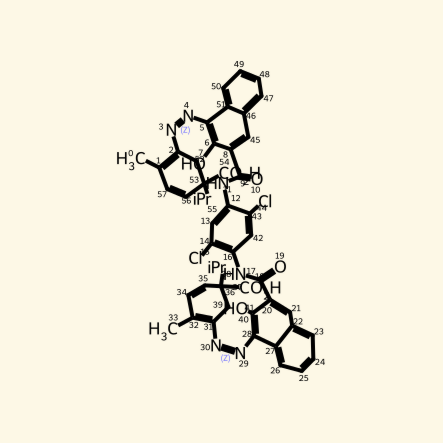 CC1=C(/N=N\c2c(O)c(C(=O)Nc3cc(Cl)c(NC(=O)c4cc5ccccc5c(/N=N\C5=C(C)C=CC(C(=O)O)(C(C)C)C5)c4O)cc3Cl)cc3ccccc23)CC(C(=O)O)(C(C)C)C=C1